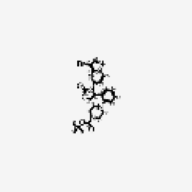 CC(C)(C)OC(=O)N1CCN(c2ccccc2C2COC(=O)N2c2ccn3ncc(Br)c3n2)CC1